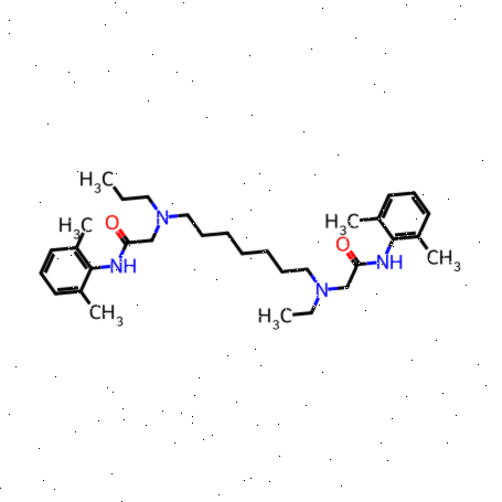 CCCN(CCCCCCCN(CC)CC(=O)Nc1c(C)cccc1C)CC(=O)Nc1c(C)cccc1C